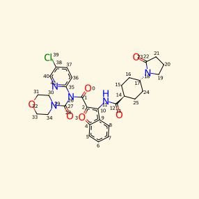 O=C(c1oc2ccccc2c1NC(=O)[C@H]1CC[C@H](N2CCCC2=O)CC1)N(C(=O)N1CCOCC1)c1ccc(Cl)cn1